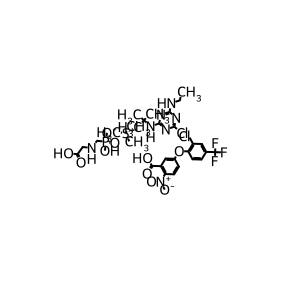 CCNc1nc(Cl)nc(NC(C)(C)C)n1.C[S+](C)C.O=C(O)CNCP(=O)([O-])O.O=C(O)c1cc(Oc2ccc(C(F)(F)F)cc2Cl)ccc1[N+](=O)[O-]